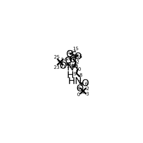 CC(C)(C)OC(=O)NCCC[C@H](COS(C)(=O)=O)NC(=O)OC(C)(C)C